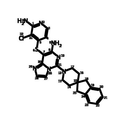 Nc1nccc(Sc2c(N)nc(N3CCC4(CC3)Cc3ccccc3C4)n3ccnc23)c1Cl